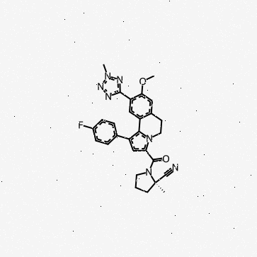 COc1cc2c(cc1-c1nnn(C)n1)-c1c(-c3ccc(F)cc3)cc(C(=O)N3CCC[C@]3(C)C#N)n1CC2